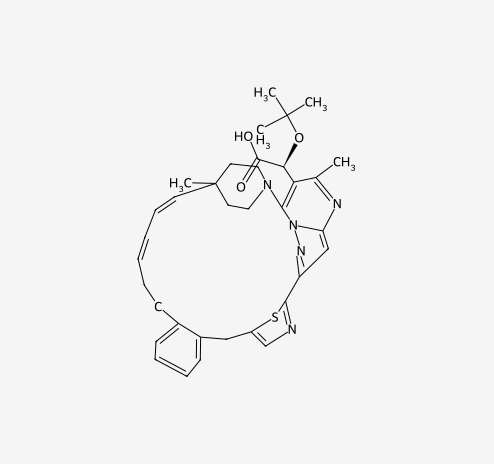 Cc1nc2cc3nn2c(c1[C@H](OC(C)(C)C)C(=O)O)N1CCC(C)(/C=C/C=C/CCc2ccccc2Cc2cnc-3s2)CC1